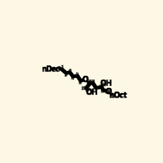 CCCCCCCCCCCCCCCCOC([CH]CC(O)COCCCCCCCC)CO